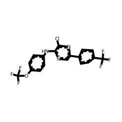 FC(F)(F)Oc1ccc(Nc2ncc(-c3ccc(C(F)(F)F)cc3)nc2Cl)cc1